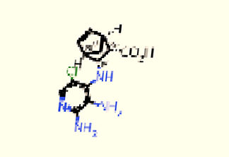 Nc1ncc(Cl)c(N[C@H]2[C@@H](C(=O)O)[C@@H]3C=C[C@H]2C3)c1N